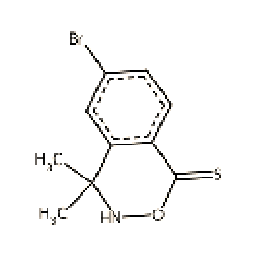 CC1(C)NOC(=S)c2ccc(Br)cc21